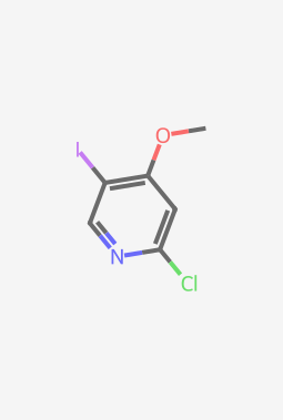 COc1cc(Cl)ncc1I